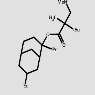 CCC1CC2CCC(OC(=O)C(C)(CNC)C(C)(C)C)(C(C)C)C(C1)C2